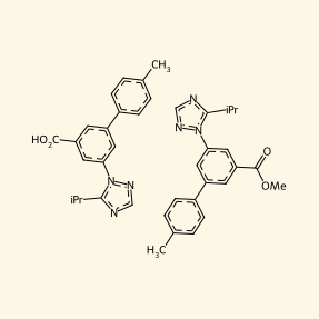 COC(=O)c1cc(-c2ccc(C)cc2)cc(-n2ncnc2C(C)C)c1.Cc1ccc(-c2cc(C(=O)O)cc(-n3ncnc3C(C)C)c2)cc1